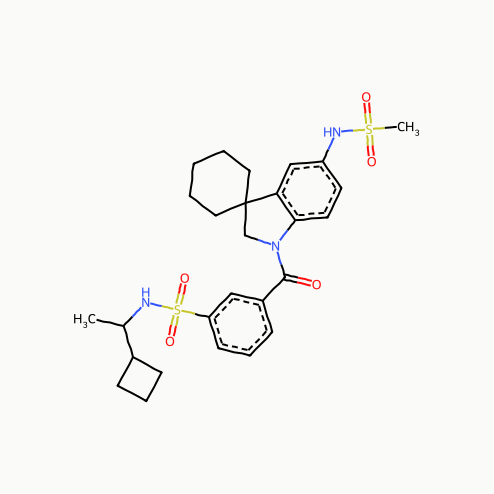 CC(NS(=O)(=O)c1cccc(C(=O)N2CC3(CCCCC3)c3cc(NS(C)(=O)=O)ccc32)c1)C1CCC1